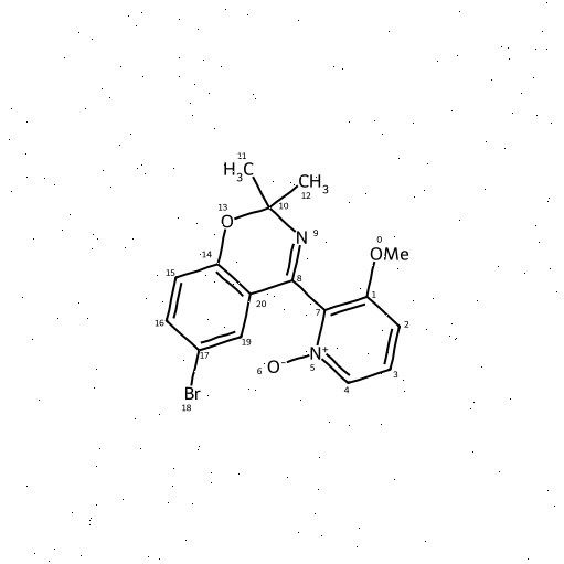 COc1ccc[n+]([O-])c1C1=NC(C)(C)Oc2ccc(Br)cc21